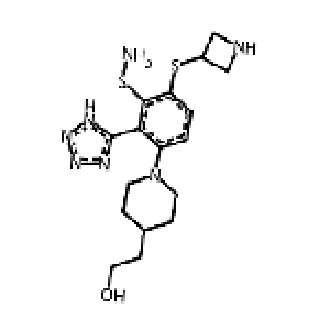 NSc1c(SC2CNC2)ccc(N2CCC(CCO)CC2)c1-c1nnn[nH]1